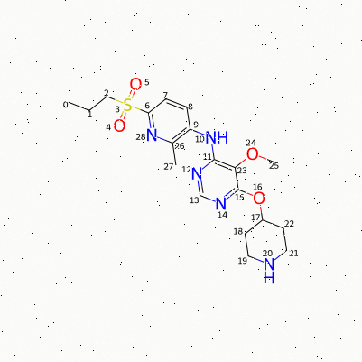 CCCS(=O)(=O)c1ccc(Nc2ncnc(OC3CCNCC3)c2OC)c(C)n1